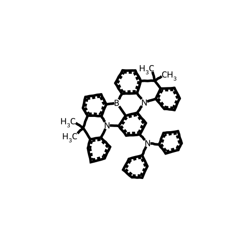 CC1(C)c2ccccc2N2c3cc(N(c4ccccc4)c4ccccc4)cc4c3B(c3cccc1c32)c1cccc2c1N4c1ccccc1C2(C)C